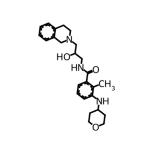 Cc1c(NC2CCOCC2)cccc1C(=O)NCC(O)CN1CCc2ccccc2C1